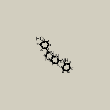 Oc1ccc(-c2cnc3ccc(Nc4ccccc4)nc3n2)cc1